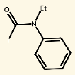 CCN(C(=O)I)c1ccccc1